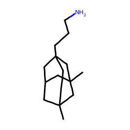 CC12CC3CC(C)(C1)CC(CCCN)(C3)C2